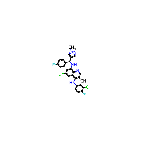 Cn1cc(C(Nc2cc(Cl)cc3c(Nc4ccc(F)c(Cl)c4)c(C#N)cnc23)c2ccc(F)cc2)cn1